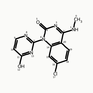 CNc1nc(=O)n(-c2nccc(O)n2)c2cc(Cl)ccc12